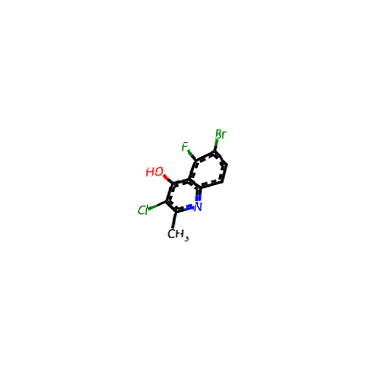 Cc1nc2ccc(Br)c(F)c2c(O)c1Cl